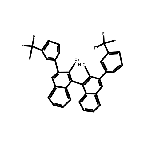 Cc1c(-c2cccc(C(F)(F)F)c2)cc2ccccc2c1-c1c(C)c(-c2cccc(C(F)(F)F)c2)cc2ccccc12